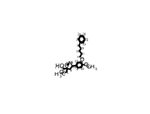 CCC1(C(=O)O)CC(c2ccc(OC)c(OCCCCCc3ccccc3)c2)=NO1